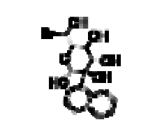 OC(Br)[C@H]1O[C@@H](O)[C@@](O)(c2cccc3ccccc23)[C@@H](O)[C@@H]1O